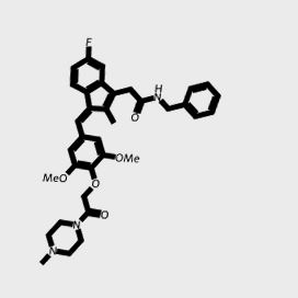 COc1cc(C=C2C(C)=C(CC(=O)NCc3ccccc3)c3cc(F)ccc32)cc(OC)c1OCC(=O)N1CCN(C)CC1